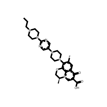 CCCN1CCN(c2ncc(N3CCN(c4c(F)cc5c(=O)c(C(=O)O)cn6c5c4OC[C@@H]6C)CC3)cn2)CC1